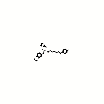 Cc1nccn1C[C@@H](NC(=O)CCCCCC(=O)c1ccc(F)cc1)[C@H](O)c1ccc2c(c1)OCCO2